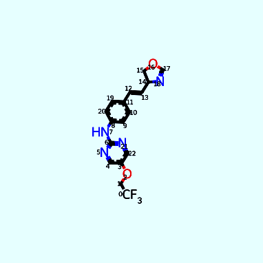 FC(F)(F)COc1cnc(Nc2ccc(C=CC3COC=N3)cc2)nc1